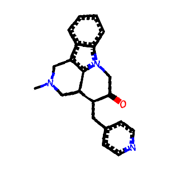 CN1Cc2c3n(c4ccccc24)CC(=O)C(Cc2ccncc2)C3C1